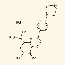 CC(=O)N1c2ccc(-c3ccc(N4CCNCC4)nc3)cc2C(N(C(=O)O)C(C)C)CC1C.Cl